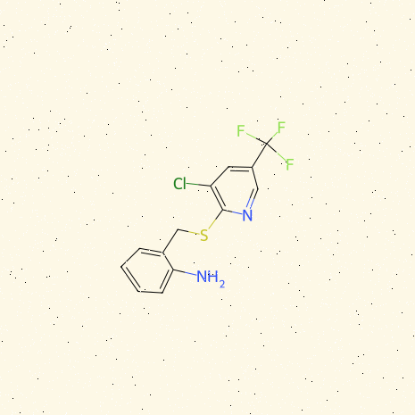 Nc1ccccc1CSc1ncc(C(F)(F)F)cc1Cl